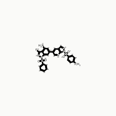 Cc1ccc(S(=O)(=O)n2ncc3cc(-c4cc(N)c5c(F)nn(S(=O)(=O)c6ccccc6)c5c4)cnc32)cc1